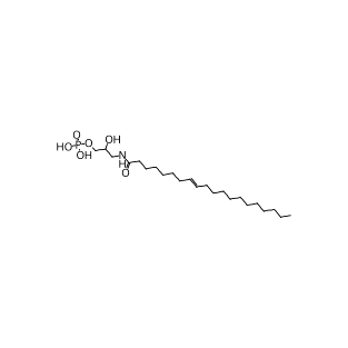 CCCCCCCCCCCC=CCCCCCCC(=O)NCC(O)COP(=O)(O)O